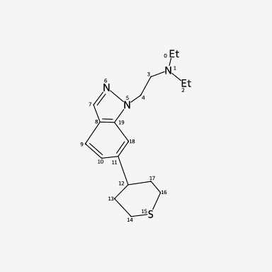 CCN(CC)CCn1ncc2ccc(C3CCSCC3)cc21